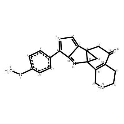 COc1ccc(C2=NC=C3C2=NC24CC32CC(=O)C2=C4CNCC2)cc1